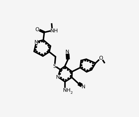 CNC(=O)c1cc(CSc2nc(N)c(C#N)c(-c3ccc(OC)cc3)c2C#N)ccn1